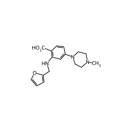 CN1CCN(c2ccc(C(=O)O)c(NCc3ccco3)c2)CC1